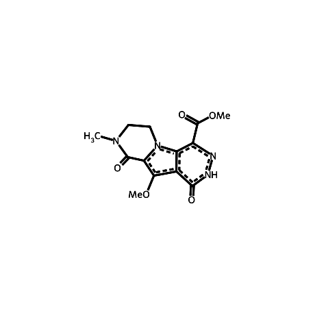 COC(=O)c1n[nH]c(=O)c2c(OC)c3n(c12)CCN(C)C3=O